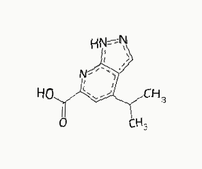 CC(C)c1cc(C(=O)O)nc2[nH]ncc12